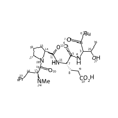 CCC(C)C(=O)C(NC(=O)[C@H](CCC(=O)O)NC(=O)[C@@H]1CCCN1C(=O)[C@H](CC(C)C)NC)C(C)O